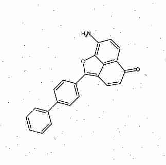 Nc1ccc2c3c(c(-c4ccc(-c5ccccc5)cc4)oc13)C=CC2=O